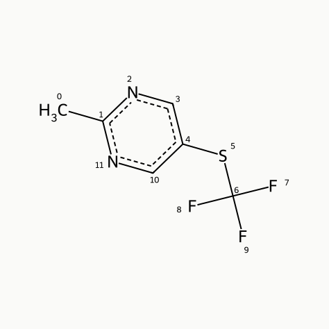 Cc1ncc(SC(F)(F)F)cn1